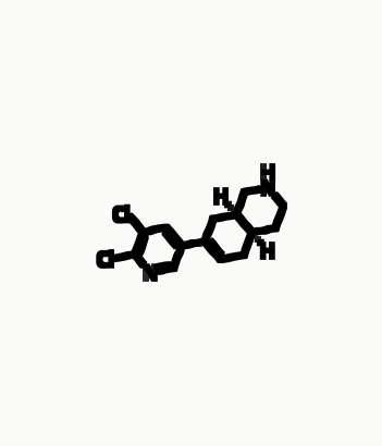 Clc1cc(C2=CC[C@@H]3CCNC[C@@H]3C2)cnc1Cl